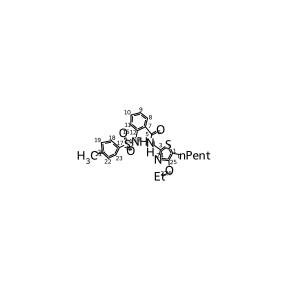 CCCCCc1sc(NC(=O)c2ccccc2NS(=O)(=O)c2ccc(C)cc2)nc1OCC